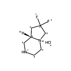 Cl.FC1(F)C[C@H]2CNCCN2C1